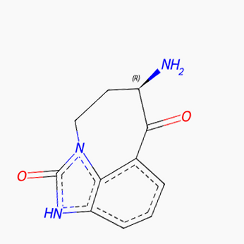 N[C@@H]1CCn2c(=O)[nH]c3cccc(c32)C1=O